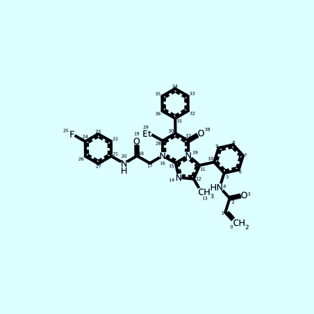 C=CC(=O)Nc1ccccc1-c1c(C)nc2n(CC(=O)Nc3ccc(F)cc3)c(CC)c(-c3ccccc3)c(=O)n12